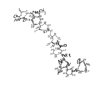 Cn1nc(C2CCC(=O)NC2=O)c2ccc(C3CCN(CCC4CCN(C(=O)[C@@H]5CCC[C@H](Nc6ncc(F)c(-c7cccc(-n8ccccc8=O)c7)n6)C5)CC4)CC3)cc21